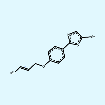 CCC/C=C/COc1ccc(-c2ncc(CCC)s2)cc1